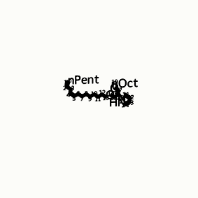 CCCCC/C=C\C/C=C\CCCCCCCCOCC(COCCCCCCCC)N1C=CC=CN1